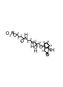 O=C(CCCO[N+](=O)[O-])NCCNCC(O)COc1cccc2c1CC(=O)N2